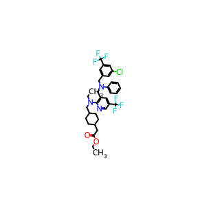 CCOC(=O)CC1CCC(CN(CC)c2ncc(C(F)(F)F)cc2CN(Cc2cc(Cl)cc(C(F)(F)F)c2)c2ccccc2)CC1